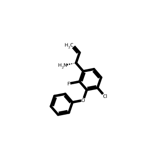 C=C[C@@H](N)c1ccc(Cl)c(Oc2ccccc2)c1F